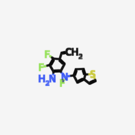 C=Cc1cc(N(F)c2ccc3sccc3c2)c(N)c(F)c1F